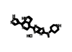 CN(c1nc2sc(-c3cnc(-c4cn[nH]c4)c4[nH]ccc34)nc2s1)C1CCNCC1.Cl